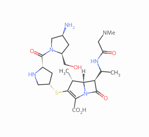 CNCC(=O)NC(C)[C@H]1C(=O)N2C(C(=O)O)=C(S[C@@H]3CN[C@H](C(=O)N4C[C@@H](N)C[C@H]4CO)C3)[C@H](C)[C@H]12